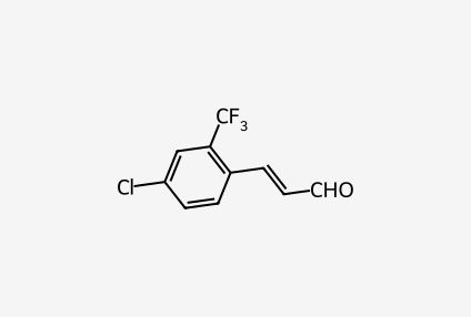 O=C/C=C/c1ccc(Cl)cc1C(F)(F)F